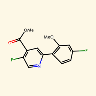 COC(=O)c1cc(-c2ccc(F)cc2OC)ncc1F